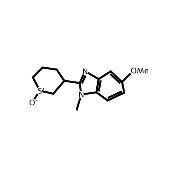 COc1ccc2c(c1)nc(C1CCC[S+]([O-])C1)n2C